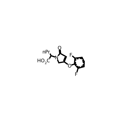 CCCC(C(=O)O)N1CC(Oc2c(F)cccc2F)=CC1=O